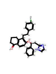 O=C1CCCc2c1ccc(O[C@@H](Cc1ncc[nH]1)c1ccccc1)c2CCc1ccc(F)cc1